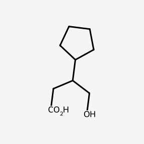 O=C(O)CC(CO)C1CCCC1